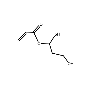 C=CC(=O)OC(S)CCO